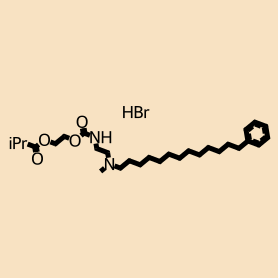 Br.CC(C)C(=O)OCCOC(=O)NCCN(C)CCCCCCCCCCCCCc1ccccc1